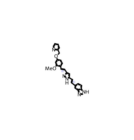 COc1cc(OCc2ccccn2)ccc1/C=C/c1cc(/C=C/c2ccc3[nH]cnc3c2)[nH]n1